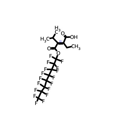 CC/C(C(=O)O)=C(\C(=O)OC(F)(F)C(F)(F)C(F)(F)C(F)(F)C(F)(F)C(F)(F)C(F)(F)C(F)(F)F)C(C)C